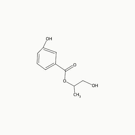 CC(CO)OC(=O)c1cccc(O)c1